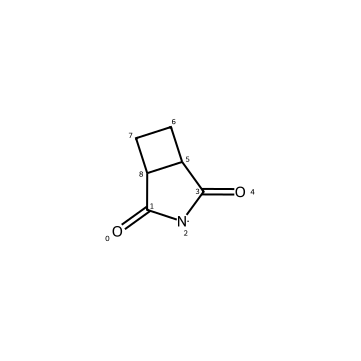 O=C1[N]C(=O)C2CCC12